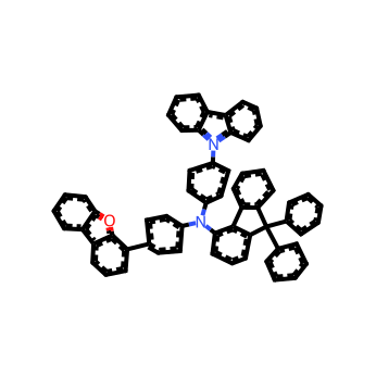 c1ccc(C2(c3ccccc3)c3ccccc3-c3c(N(c4ccc(-c5cccc6c5oc5ccccc56)cc4)c4ccc(-n5c6ccccc6c6ccccc65)cc4)cccc32)cc1